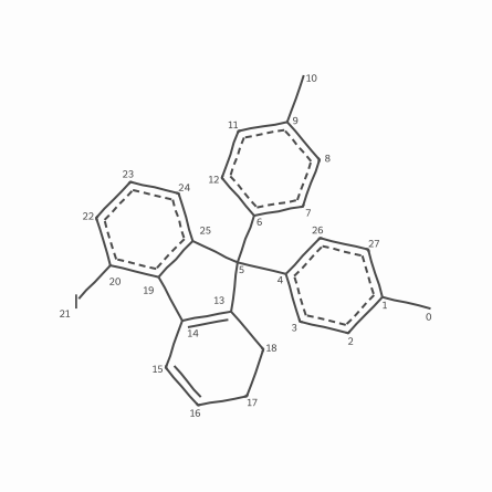 Cc1ccc(C2(c3ccc(C)cc3)C3=C(C=CCC3)c3c(I)cccc32)cc1